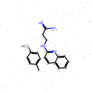 Cc1ccc(S(=O)(=O)O)cc1.N=C(N)CCNc1ccc2ccccc2n1